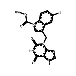 CC(C)(C)OC(=O)n1cc(Cn2c(=S)[nH]c(=O)c3[nH]cnc32)c2cc(Cl)ccc21